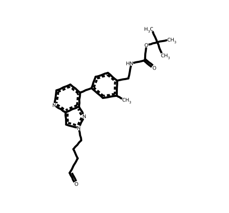 Cc1cc(-c2ccnc3cn(CCCC=O)nc23)ccc1CNC(=O)OC(C)(C)C